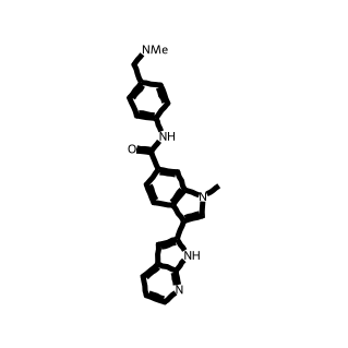 CNCc1ccc(NC(=O)c2ccc3c(-c4cc5cccnc5[nH]4)cn(C)c3c2)cc1